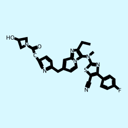 CCc1nc2cc(Cc3ccc(CC(=O)N4CC(O)C4)cn3)ccn2c1N(C)c1nc(-c2ccc(F)cc2)c(C#N)s1